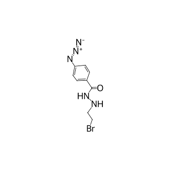 [N-]=[N+]=Nc1ccc(C(=O)NNCCBr)cc1